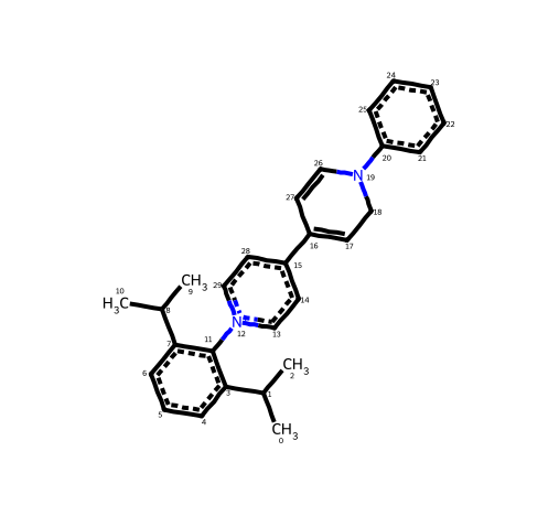 CC(C)c1cccc(C(C)C)c1-[n+]1ccc(C2=CCN(c3ccccc3)C=C2)cc1